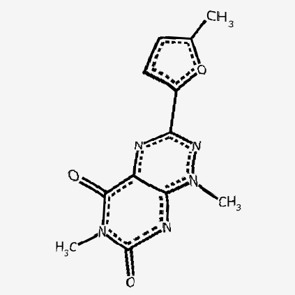 Cc1ccc(-c2nc3c(=O)n(C)c(=O)nc-3n(C)n2)o1